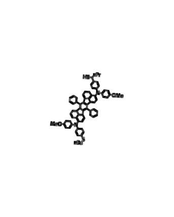 CCCCSc1ccc(N(c2ccc(OC)cc2)c2ccc3c4c(-c5ccccc5)c5c6ccc(N(c7ccc(OC)cc7)c7ccc(C(S)CCC)cc7)c7cccc(c5c(-c5ccccc5)c4c4cccc2c43)c76)cc1